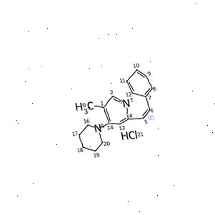 Cc1cnc(/C=C\c2ccccc2)cc1N1CCCCC1.Cl